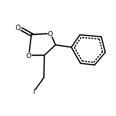 O=C1OC(CI)C(c2ccccc2)O1